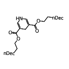 CCCCCCCCCCCCOC(=O)C1=CNC=C(C(=O)OCCCCCCCCCCCC)C1